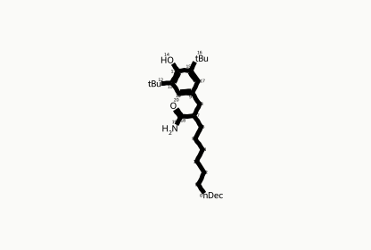 CCCCCCCCCCCCCCCCC(Cc1cc(C(C)(C)C)c(O)c(C(C)(C)C)c1)C(N)=O